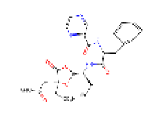 COC(=O)C[C@@]1(CC(=O)O)OB([C@H](CC(C)C)NC(=O)[C@H](Cc2ccccc2)NC(=O)c2cnccn2)OC1=O